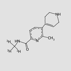 [2H]C([2H])([2H])NC(=O)c1ccc(C2=CCNCC2)c(C)n1